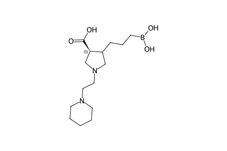 O=C(O)[C@@H]1CN(CCN2CCCCC2)CC1CCCB(O)O